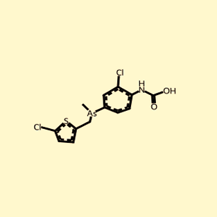 C[As](Cc1ccc(Cl)s1)c1ccc(NC(=O)O)c(Cl)c1